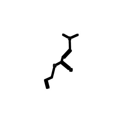 C=CCOC(=O)C=CN(C)C